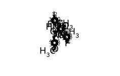 COc1ccc(CNC(=O)c2c(Oc3cc(F)ccc3C)cc(=O)n(C)c2Nc2ccc(I)cc2F)cc1